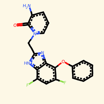 Nc1cccn(Cc2nc3c(Oc4ccccc4)c(F)cc(F)c3[nH]2)c1=O